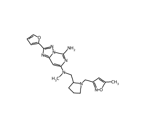 Cc1cc(CN2CCCC2CN(C)c2cc3nc(-c4ccco4)nn3c(N)n2)no1